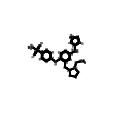 CCN1CCCC1Cc1cc(Nc2c[nH]cn2)ccc1Oc1ccc(S(C)(=O)=O)cc1